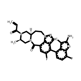 C=CC(=O)N1C[C@H]2CCn3ncc4c(-c5ccc(F)c6sc(N)c(C#N)c56)c(F)cc(c43)C(=O)N2C[C@H]1C